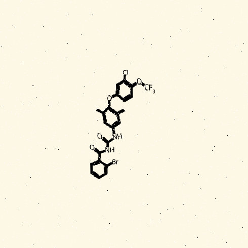 Cc1cc(NC(=O)NC(=O)c2ccccc2Br)cc(C)c1Oc1ccc(OC(F)(F)F)c(Cl)c1